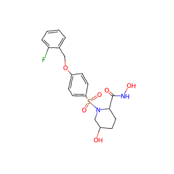 O=C(NO)C1CCC(O)CN1S(=O)(=O)c1ccc(OCc2ccccc2F)cc1